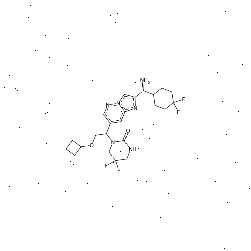 N[C@H](c1cn2ncc(C(COC3CCC3)N3CC(F)(F)CNC3=O)cc2n1)C1CCC(F)(F)CC1